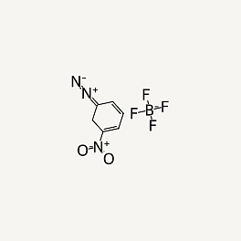 F[B-](F)(F)F.[N-]=[N+]=C1C=CC=C([N+](=O)[O-])C1